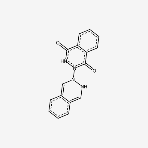 O=c1[nH]n(N2C=c3ccccc3=CN2)c(=O)c2ccccc12